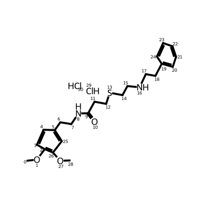 COc1ccc(CCNC(=O)CCSCCNCCc2ccccc2)cc1OC.Cl.Cl